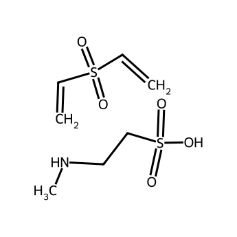 C=CS(=O)(=O)C=C.CNCCS(=O)(=O)O